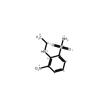 NS(=O)(=O)c1cccc([N+](=O)[O-])c1NCC(F)(F)F